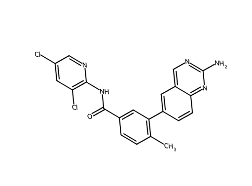 Cc1ccc(C(=O)Nc2ncc(Cl)cc2Cl)cc1-c1ccc2nc(N)ncc2c1